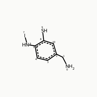 NCc1ccc(NI)c(S)c1